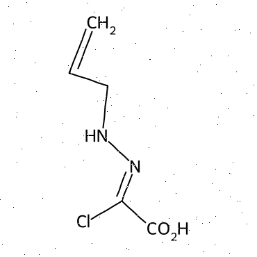 C=CCNN=C(Cl)C(=O)O